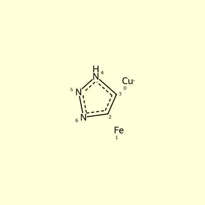 [Cu].[Fe].c1c[nH]nn1